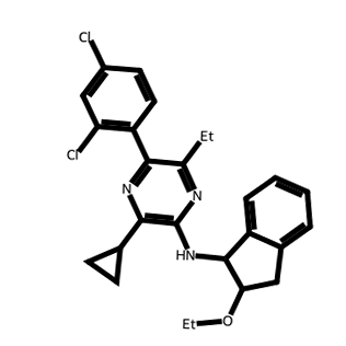 CCOC1Cc2ccccc2C1Nc1nc(CC)c(-c2ccc(Cl)cc2Cl)nc1C1CC1